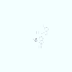 O=S(=O)(c1cc(C(O)Nc2ccc(F)c(Cl)c2)cc2cc[nH]c12)N1CCC(O)CC1